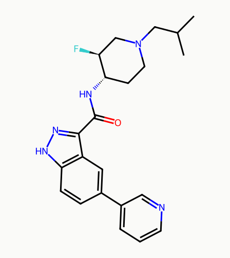 CC(C)CN1CC[C@H](NC(=O)c2n[nH]c3ccc(-c4cccnc4)cc23)[C@@H](F)C1